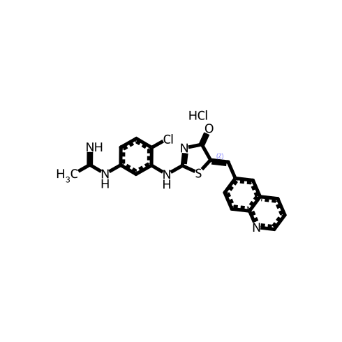 CC(=N)Nc1ccc(Cl)c(NC2=NC(=O)/C(=C/c3ccc4ncccc4c3)S2)c1.Cl